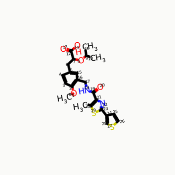 COc1ccc(CC(OC(C)C)C(=O)O)cc1CNC(=O)c1nc(-c2ccsc2)sc1C